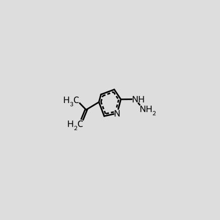 C=C(C)c1ccc(NN)nc1